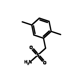 Cc1ccc(C)c(CS(N)(=O)=O)c1